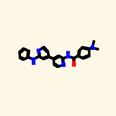 CN(C)c1ccc(C(=O)Nc2cc(-c3ccnc(Nc4ccccc4)c3)ccn2)cc1